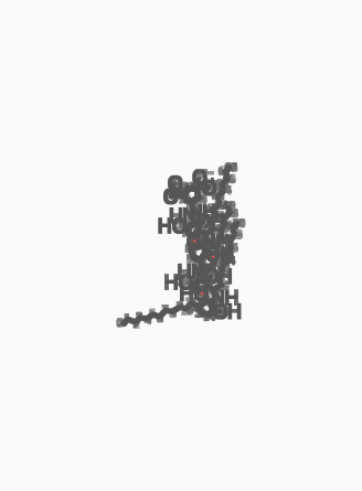 CCCCCCCCCCCCc1ccc(O)c(NC(CCCCCCCCCCC)c2ccc(O)c(NC(CCCCCCCCCCC)c3ccc(O)c(NC(CCCCCCCCCCC)c4ccc(O)c(NNc5cc([N+](=O)[O-])cc([N+](=O)[O-])c5)c4O)c3O)c2O)c1O